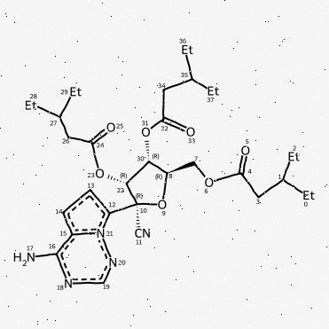 CCC(CC)CC(=O)OC[C@H]1O[C@@](C#N)(c2ccc3c(N)ncnn23)[C@H](OC(=O)CC(CC)CC)[C@@H]1OC(=O)CC(CC)CC